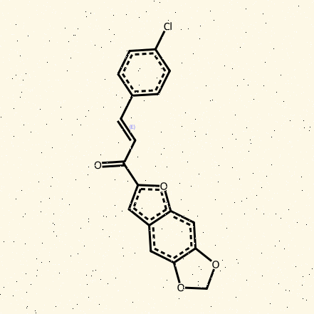 O=C(/C=C/c1ccc(Cl)cc1)c1cc2cc3c(cc2o1)OCO3